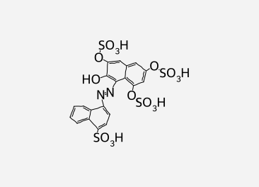 O=S(=O)(O)Oc1cc(OS(=O)(=O)O)c2c(N=Nc3ccc(S(=O)(=O)O)c4ccccc34)c(O)c(OS(=O)(=O)O)cc2c1